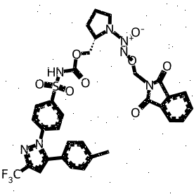 Cc1ccc(-c2cc(C(F)(F)F)nn2-c2ccc(S(=O)(=O)NC(=O)OC[C@@H]3CCCN3[N+]([O-])=NOCN3C(=O)c4ccccc4C3=O)cc2)cc1